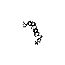 Cc1cc(CC(=O)Nc2cnn(C(C)(C)C)c2)c(F)cc1Oc1ccnc2ccc(N3CCOC3=O)cc12